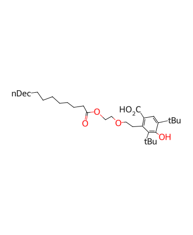 CCCCCCCCCCCCCCCCCC(=O)OCCOCCc1c(C(=O)O)cc(C(C)(C)C)c(O)c1C(C)(C)C